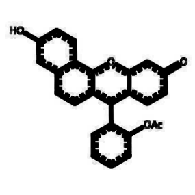 CC(=O)Oc1ccccc1-c1c2ccc(=O)cc-2oc2c1ccc1cc(O)ccc12